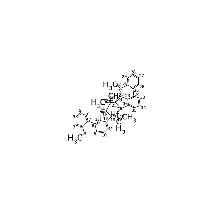 CCc1ccccc1-c1cccc2c1C=C1[CH]2[Hf]([CH3])([CH3])[CH]2C(=Cc3c(-c4ccccc4CC)cccc32)C1(C)C